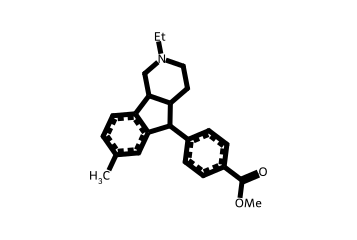 CCN1CCC2C(C1)c1ccc(C)cc1C2c1ccc(C(=O)OC)cc1